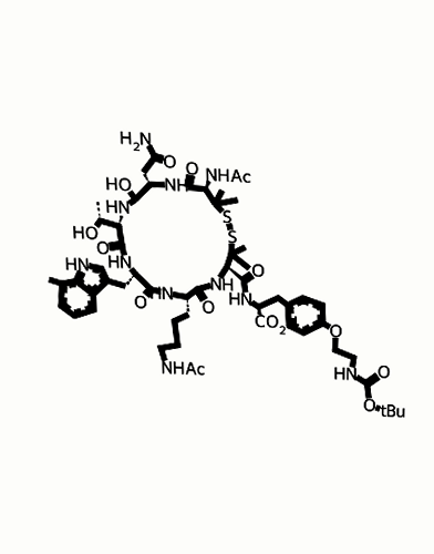 CC(=O)NCCCC[C@@H]1NC(=O)[C@H](Cc2c[nH]c3c(C)cccc23)NC(=O)[C@H]([C@@H](C)O)NC(O)[C@H](CC(N)=O)NC(=O)[C@@H](NC(C)=O)C(C)(C)SSC(C)(C)[C@@H](C(=O)N[C@@H](Cc2ccc(OCCNC(=O)OC(C)(C)C)cc2)C(=O)O)NC1=O